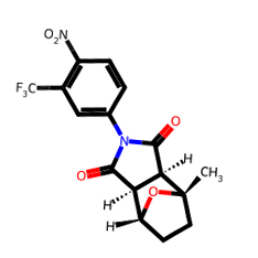 C[C@@]12CC[C@@H](O1)[C@H]1C(=O)N(c3ccc([N+](=O)[O-])c(C(F)(F)F)c3)C(=O)[C@H]12